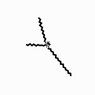 CCCCCCCCCCCCCCCCCCCn1cc[n+](CCCCCCCCCCCCC)c1CCCCCCCCCC